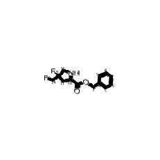 O=C(OCc1ccccc1)C1C[C@](F)(CF)CN1